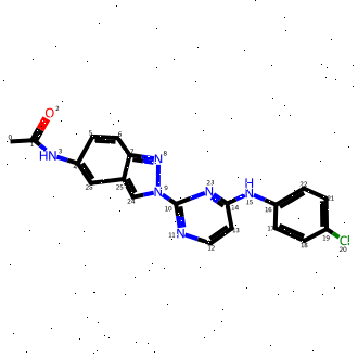 CC(=O)Nc1ccc2nn(-c3nccc(Nc4ccc(Cl)cc4)n3)cc2c1